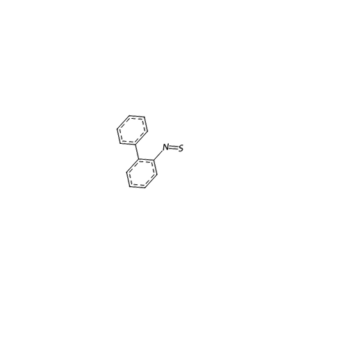 S=Nc1ccccc1-c1ccccc1